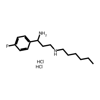 CCCCCCNCCC(N)c1ccc(F)cc1.Cl.Cl